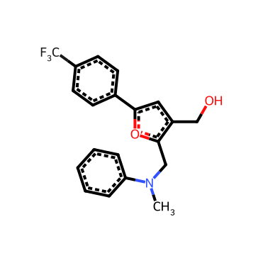 CN(Cc1oc(-c2ccc(C(F)(F)F)cc2)cc1CO)c1ccccc1